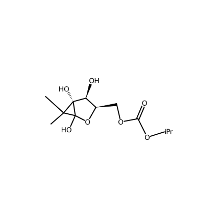 CC(C)OC(=O)OC[C@H]1OC2(O)C(C)(C)[C@@]2(O)[C@H]1O